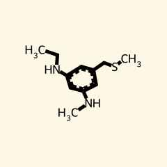 CCNc1cc(CSC)cc(NC)c1